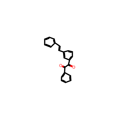 O=C(C(=O)c1cccc(C=Cc2ccccc2)c1)c1ccccc1